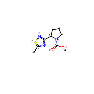 Cc1nc(C2CCCN2C(=O)O)ns1